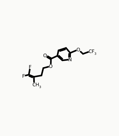 CC(CCOC(=O)c1ccc(OCC(F)(F)F)nc1)=C(F)F